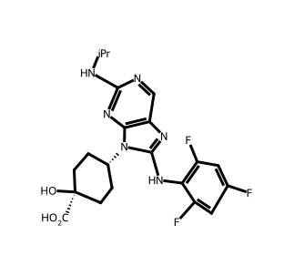 CC(C)Nc1ncc2nc(Nc3c(F)cc(F)cc3F)n([C@H]3CC[C@@](O)(C(=O)O)CC3)c2n1